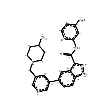 CC1CCN(Cc2cncc(-c3ccc4[nH]nc(C(=O)Nc5cc(C(F)(F)F)ccn5)c4c3)c2)CC1